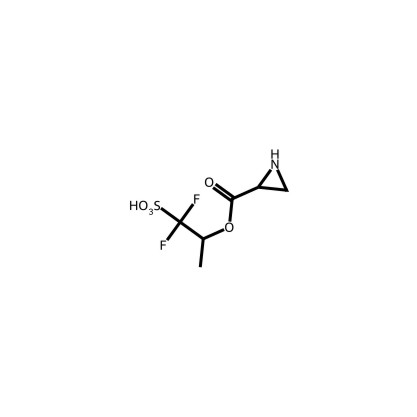 CC(OC(=O)C1CN1)C(F)(F)S(=O)(=O)O